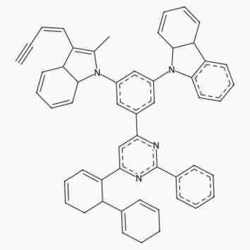 C#C/C=C\C1=C(C)N(c2cc(-c3cc(C4=CC=CCC4C4=CCCC=C4)nc(-c4ccccc4)n3)cc(N3c4ccccc4C4C=CC=CC43)c2)C2C=CC=CC12